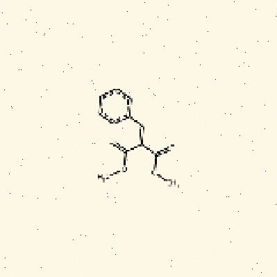 COC(=O)C(=Cc1cc[c]cc1)C(=O)OC